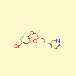 C[C@@H](Oc1ccc(Br)cc1)[C@H](O)CCc1cccnc1